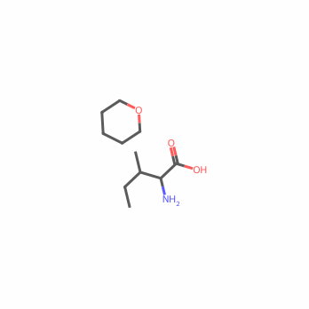 C1CCOCC1.CCC(C)C(N)C(=O)O